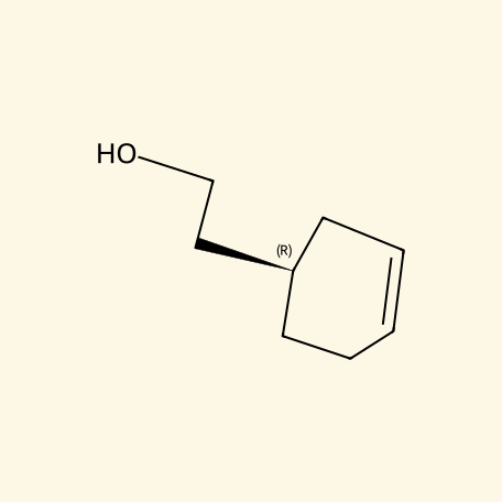 OCC[C@H]1CC=CCC1